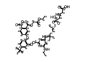 CCNc1nc(Cl)nc(NC(C)(C)C)n1.CCOC(=O)COC(=O)c1cc(Oc2ccc(C(F)(F)F)cc2Cl)ccc1[N+](=O)[O-].C[S+](C)C.O=C(O)CNCP(=O)([O-])O